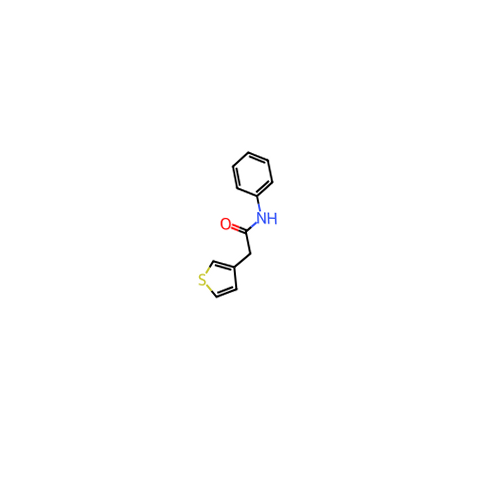 O=C(Cc1ccsc1)Nc1ccccc1